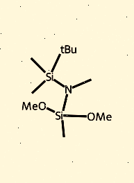 CO[Si](C)(OC)N(C)[Si](C)(C)C(C)(C)C